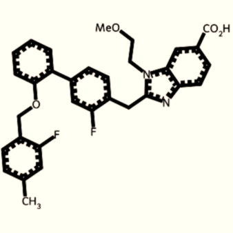 COCCn1c(Cc2ccc(-c3ccccc3OCc3ccc(C)cc3F)cc2F)nc2ccc(C(=O)O)cc21